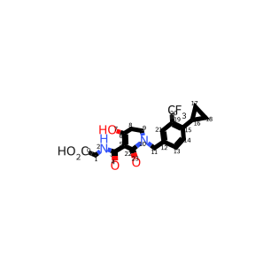 O=C(O)CNC(=O)C1=C(O)CCN(Cc2ccc(C3CC3)c(C(F)(F)F)c2)C1=O